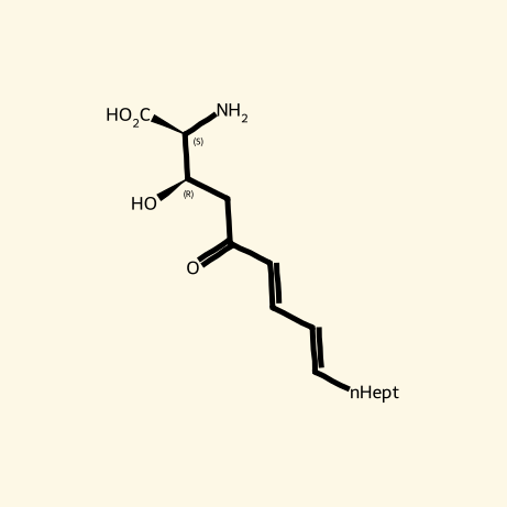 CCCCCCCC=CC=CC(=O)C[C@@H](O)[C@H](N)C(=O)O